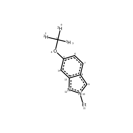 [2H]C([2H])([2H])Oc1ccc2cn(CC)nc2c1